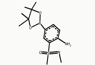 CN=S(C)(=O)c1cc(B2OC(C)(C)C(C)(C)O2)ccc1N